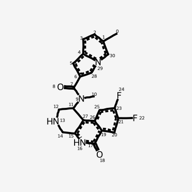 Cc1ccc2cc(C(=O)N(C)C3CNCc4[nH]c(=O)c5cc(F)c(F)cc5c43)cn2c1